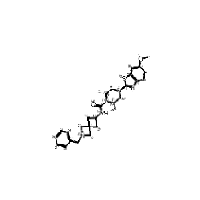 COc1ccc2nc(N3C[C@@H](C)N(C(=O)NC4CC5(C4)CN(Cc4ccccc4)C5)[C@H](C)C3)sc2c1